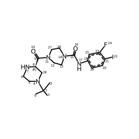 CC(C)(C)N1CCN[C@@H](C(=O)N2CCN(C(=O)Nc3ccc(I)c(F)c3)CC2)C1